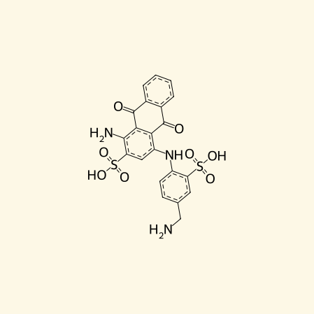 NCc1ccc(Nc2cc(S(=O)(=O)O)c(N)c3c2C(=O)c2ccccc2C3=O)c(S(=O)(=O)O)c1